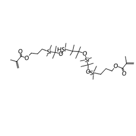 C=C(C)C(=O)OCCC[Si](C)(C)OC(C)(C)[Si](C)(C)OC(C)(C)C(C)(C)[SiH](C)OC(C)(C)[Si](C)(C)CCCOC(=O)C(=C)C